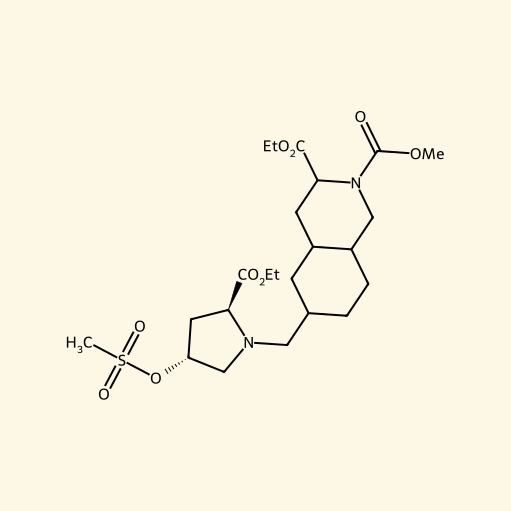 CCOC(=O)C1CC2CC(CN3C[C@H](OS(C)(=O)=O)C[C@H]3C(=O)OCC)CCC2CN1C(=O)OC